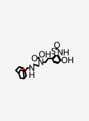 O=C(O)N(CCNCC12CC3CC(CC(C3)C1)C2)CCc1ccc(O)c2[nH]c(=O)sc12